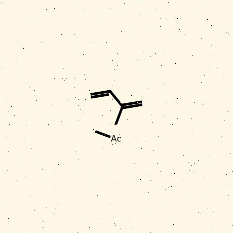 C=CC(=C)C.CC(C)=O